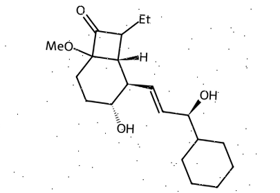 CCC1C(=O)C2(OC)CC[C@@H](O)[C@H](/C=C/[C@@H](O)C3CCCCC3)[C@@H]12